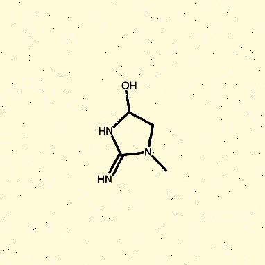 CN1CC(O)NC1=N